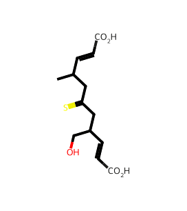 CC(C=CC(=O)O)CC(=S)CC(C=CC(=O)O)CO